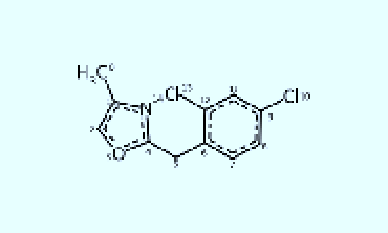 Cc1coc(Cc2ccc(Cl)cc2Cl)n1